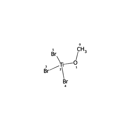 C[O][Ti]([Br])([Br])[Br]